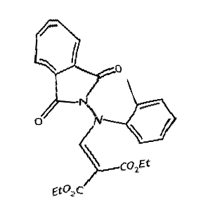 CCOC(=O)C(=CN(c1ccccc1C)N1C(=O)c2ccccc2C1=O)C(=O)OCC